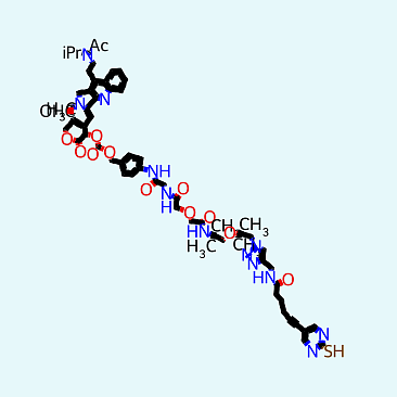 CC(=O)N(CCc1c2c(nc3ccccc13)/C(=C/C1=C(C=O)COC(=O)C1OC(=O)OCc1ccc(NC(=O)CNC(=O)COCC(=O)NC(C)(C)COC(C)(C)Cn3cc(CNC(=O)CCCC#Cc4cnc(S)nc4)nn3)cc1)N(C)C2)C(C)C